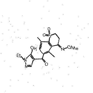 CCn1ncc(C(=O)c2cc(C)c3c(c2C)C(=NOC)CCS3(=O)=O)c1O